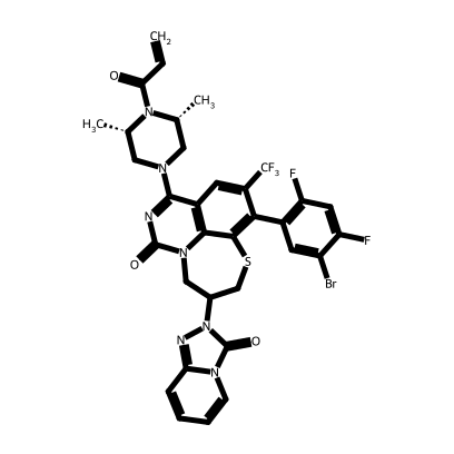 C=CC(=O)N1[C@H](C)CN(c2nc(=O)n3c4c(c(-c5cc(Br)c(F)cc5F)c(C(F)(F)F)cc24)SCC(n2nc4ccccn4c2=O)C3)C[C@@H]1C